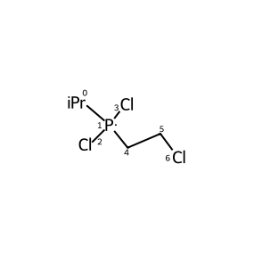 CC(C)[P](Cl)(Cl)CCCl